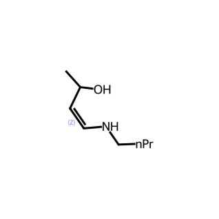 CCCCN/C=C\C(C)O